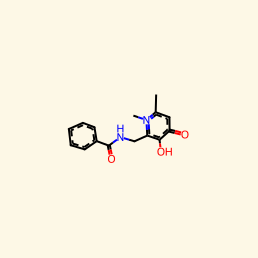 Cc1cc(=O)c(O)c(CNC(=O)c2ccccc2)n1C